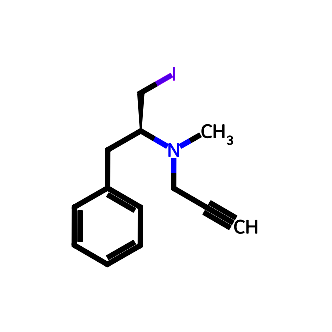 C#CCN(C)[C@H](CI)Cc1ccccc1